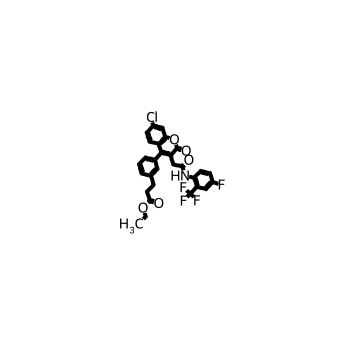 CCOC(=O)CCc1cccc(-c2c(CC(=O)Nc3ccc(F)cc3C(F)(F)F)c(=O)oc3cc(Cl)ccc23)c1